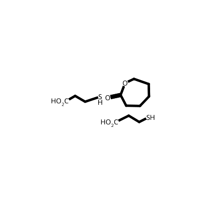 O=C(O)CCS.O=C(O)CCS.O=C1CCCCCO1